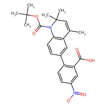 CC1=CC(C)(C)N(C(=O)OC(C)(C)C)c2ccc(-c3ccc([N+](=O)[O-])cc3C(=O)O)cc21